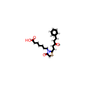 O=C(O)CCCCCCN1C(=O)CSC1CCC(=O)CCc1ccccc1